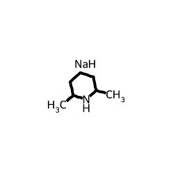 CC1CCCC(C)N1.[NaH]